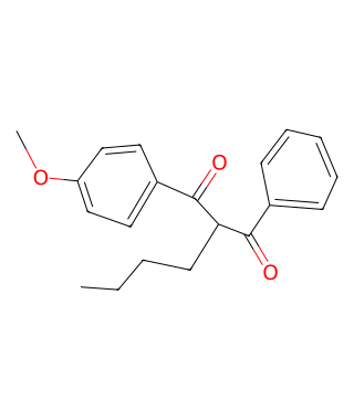 CCCCC(C(=O)c1ccccc1)C(=O)c1ccc(OC)cc1